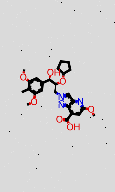 COc1cc(C(=O)O)c2nn(C[C@H](OC3CCCC3)[C@H](O)c3cc(OC)c(C)c(OC)c3)cc2n1